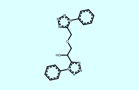 OC(COCc1nnnn1-c1ccccc1)c1nnnn1-c1ccccc1